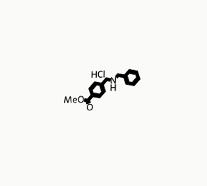 COC(=O)c1ccc(CNCc2ccccc2)cc1.Cl